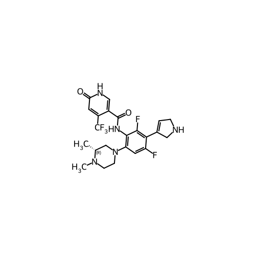 C[C@@H]1CN(c2cc(F)c(C3=CCNC3)c(F)c2NC(=O)c2c[nH]c(=O)cc2C(F)(F)F)CCN1C